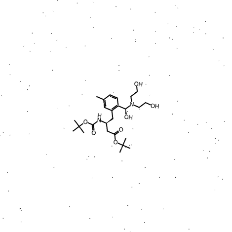 Cc1ccc([C@H](O)N(CCO)CCO)c(C[C@@H](CC(=O)OC(C)(C)C)NC(=O)OC(C)(C)C)c1